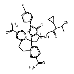 CC(C#N)N(C(=O)CN[C@H](C)CC1(c2nn(-c3ccc(F)cc3)c(=O)[nH]2)c2ccc(C(N)=O)cc2CCc2cc(C(N)=O)ccc21)C1CC1